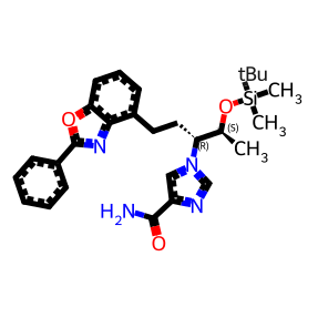 C[C@H](O[Si](C)(C)C(C)(C)C)[C@@H](CCc1cccc2oc(-c3ccccc3)nc12)n1cnc(C(N)=O)c1